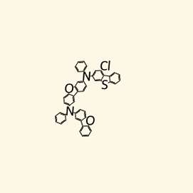 Clc1cc(N(c2ccccc2)c2ccc3c(c2)oc2ccc(N(c4ccccc4)c4ccc5oc6ccccc6c5c4)cc23)cc2sc3ccccc3c12